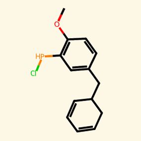 COc1ccc(CC2C=CC=CC2)cc1PCl